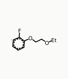 CCOCCOc1ccc[c]c1F